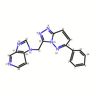 c1ccc(-c2ccc3nnc(Cn4cnc5cnccc54)n3n2)cc1